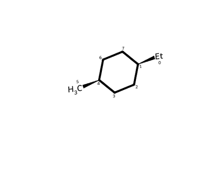 CC[C@H]1CC[C@@H](C)CC1